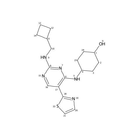 OC1CCC(Nc2nc(NCC3CCC3)ncc2-c2nccs2)CC1